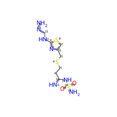 N=C(CCSCc1csc(NC=NN)n1)NS(N)(=O)=O